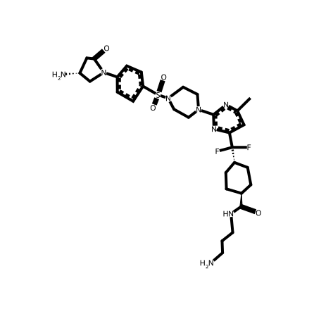 Cc1cc(C(F)(F)[C@H]2CC[C@H](C(=O)NCCCN)CC2)nc(N2CCN(S(=O)(=O)c3ccc(N4C[C@H](N)CC4=O)cc3)CC2)n1